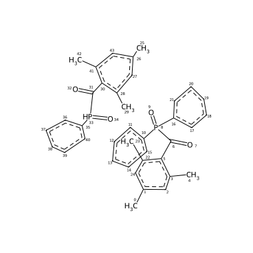 Cc1cc(C)c(C(=O)P(=O)(c2ccccc2)c2ccccc2)c(C)c1.Cc1cc(C)c(C(=O)[PH](=O)c2ccccc2)c(C)c1